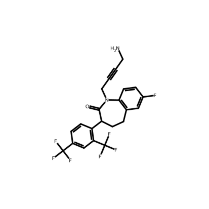 NCC#CCN1C(=O)C(c2ccc(C(F)(F)F)cc2C(F)(F)F)CCc2cc(F)ccc21